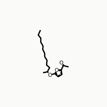 CCCCCCCCCCCC(C)Oc1ccc(C(C)=O)o1